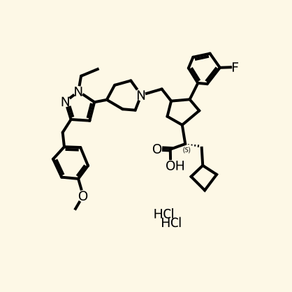 CCn1nc(Cc2ccc(OC)cc2)cc1C1CCN(CC2CC([C@H](CC3CCC3)C(=O)O)CC2c2cccc(F)c2)CC1.Cl.Cl